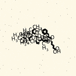 CC[C@H](C)[C@@H]([C@@H](CC(=O)N1CCC[C@H]1[C@H](OC)[C@@H](C)C(=O)N[C@@H](Cc1ccccc1)C(=O)NCCCCC(=O)O)OC)N(C)C(=O)[C@@H](NC(=O)[C@H](C(C)C)N(C)C)C(C)C